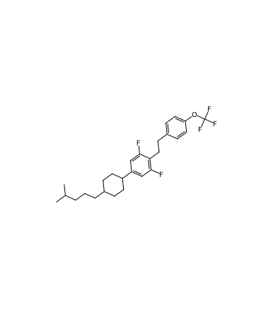 CC(C)CCCC1CCC(c2cc(F)c(CCc3ccc(OC(F)(F)F)cc3)c(F)c2)CC1